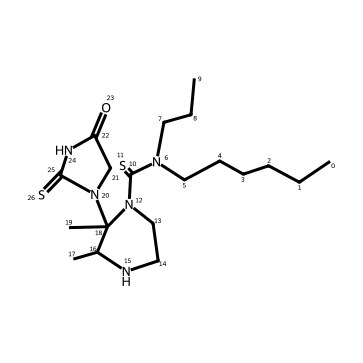 CCCCCCN(CCC)C(=S)N1CCNC(C)C1(C)N1CC(=O)NC1=S